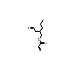 C=CC(=O)OCC(CC=O)CCC